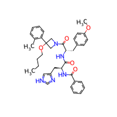 CCCCOC1(c2ccccc2C)CN(C(=O)[C@H](Cc2ccc(OC)cc2)NC(=O)[C@H](Cc2c[nH]cn2)NC(=O)c2ccccc2)C1